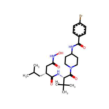 CC(C)C[C@H](CC(=O)NO)C(=O)N[C@H](C(=O)N1CCC(NC(=O)c2ccc(Br)cc2)CC1)C(C)(C)C